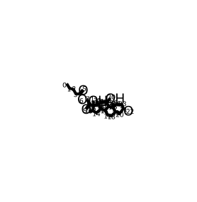 CCCCC(=O)OCC(=O)C1(O)C(C)CC2C3CCC4=CC(=O)C=CC4(C)C3(F)C(O)CC21C